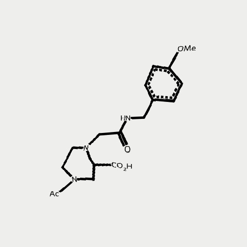 COc1ccc(CNC(=O)CN2CCN(C(C)=O)CC2C(=O)O)cc1